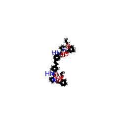 CCCOc1ccccc1CON1CCC[C@H]1C(=O)Nc1ccc(/C=C/c2ccc(NC(=O)[C@@H]3CCCN3C(=O)c3ccccc3OCCC)cc2)cc1